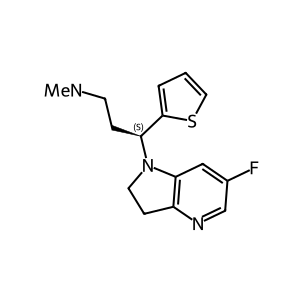 CNCC[C@@H](c1cccs1)N1CCc2ncc(F)cc21